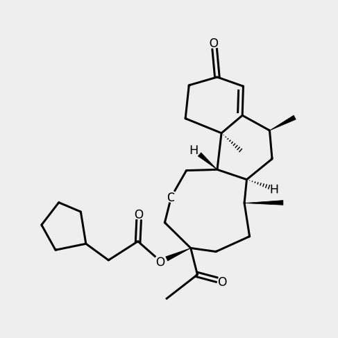 CC(=O)[C@]1(OC(=O)CC2CCCC2)CCC[C@H]2[C@@H](C[C@H](C)C3=CC(=O)CC[C@@]32C)[C@@H](C)CC1